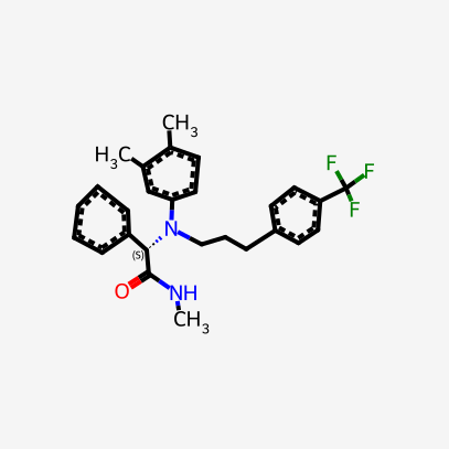 CNC(=O)[C@H](c1ccccc1)N(CCCc1ccc(C(F)(F)F)cc1)c1ccc(C)c(C)c1